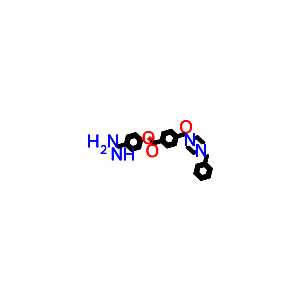 N=C(N)c1ccc(OC(=O)c2ccc(C(=O)N3CCN(Cc4ccccc4)CC3)cc2)cc1